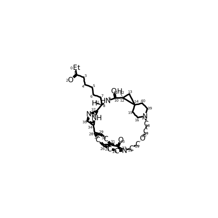 CCC(=O)CCCCC[C@@H]1NC(=O)[C@H]2CC23CCN(CCOCCn2ccc4cc(ccc4c2=O)-c2cnc1[nH]2)CC3